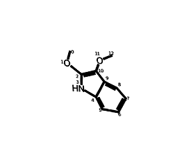 COc1[nH]c2cc[c]cc2c1OC